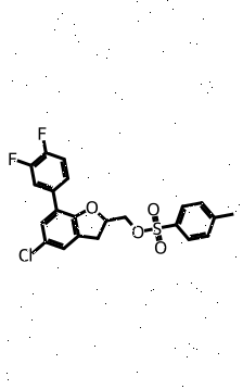 Cc1ccc(S(=O)(=O)OCC2Cc3cc(Cl)cc(-c4ccc(F)c(F)c4)c3O2)cc1